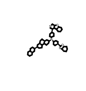 c1ccc2cc(-c3ccc4c(ccc5cc(N(c6ccc(-c7nc8ccccc8o7)cc6)c6ccc(-c7cncc8oc9ccccc9c78)cc6)ccc54)c3)ccc2c1